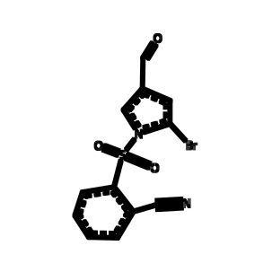 N#Cc1ccccc1S(=O)(=O)n1cc(C=O)cc1Br